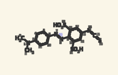 CN(C)c1ccc(/N=N/c2c(S(=O)(=O)O)cc(N=C=S)cc2S(=O)(=O)O)cc1